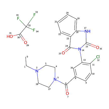 CCN1CCN(C(=O)c2ccc(Cl)c(-n3c(=O)[nH]c4ccccc4c3=O)c2)CC1.O=C(O)C(F)(F)F